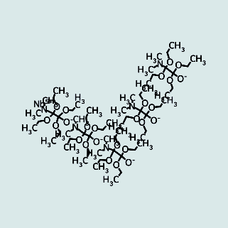 CCOC([O-])(OCC)C(OCC)(OCC)N(C)C.CCOC([O-])(OCC)C(OCC)(OCC)N(C)C.CCOC([O-])(OCC)C(OCC)(OCC)N(C)C.CCOC([O-])(OCC)C(OCC)(OCC)N(C)C.CCOC([O-])(OCC)C(OCC)(OCC)N(C)C.[Nb+5]